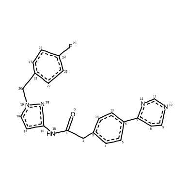 O=C(Cc1ccc(-c2ccncn2)cc1)Nc1ccn(Cc2ccc(F)cc2)n1